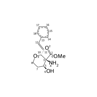 COC(=O)[C@]1(N)[C@@H](O)CCO[C@@H]1/C=C/c1ccccc1